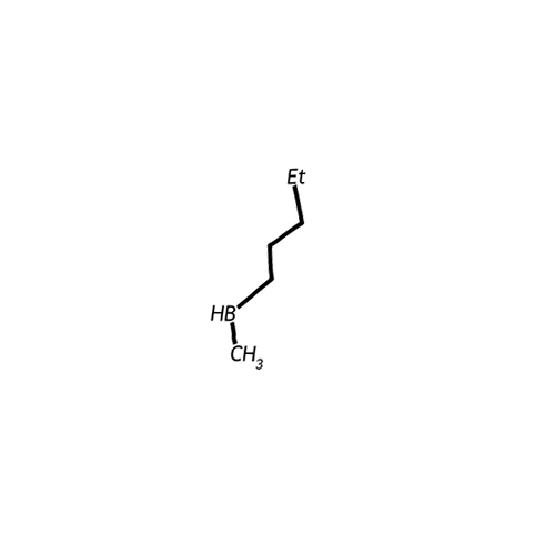 CBCCCCC